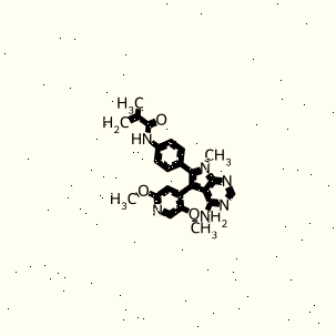 C=C(C)C(=O)Nc1ccc(-c2c(-c3cc(OC)ncc3OC)c3c(N)ncnc3n2C)cc1